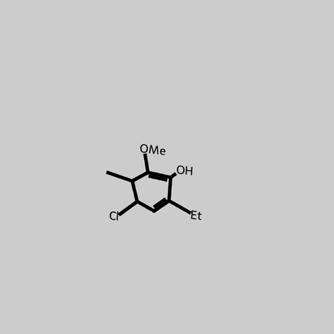 CCC1=CC(Cl)C(C)C(OC)=C1O